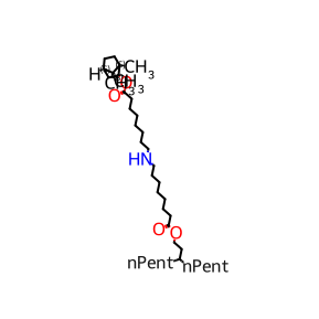 CCCCCC(CCCCC)CCOC(=O)CCCCCCCNCCCCCCCC(=O)O[C@H]1C[C@@H]2CC[C@@]1(C)C2(C)C